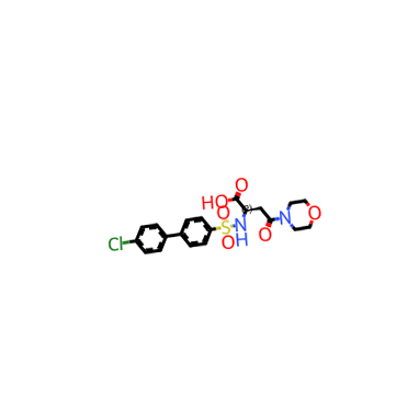 O=C(O)[C@@H](CC(=O)N1CCOCC1)NS(=O)(=O)c1ccc(-c2ccc(Cl)cc2)cc1